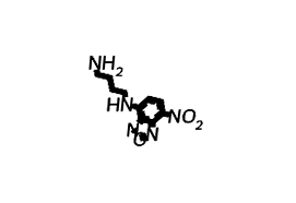 NCCCCNc1ccc([N+](=O)[O-])c2nonc12